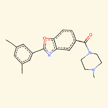 Cc1cc(C)cc(-c2nc3cc(C(=O)N4CCN(C)CC4)ccc3o2)c1